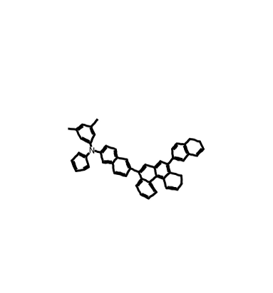 Cc1cc(C)cc(N(c2ccccc2)c2ccc3cc(-c4cc5cc(-c6ccc7c(c6)C=CCC7)c6c(c5c5ccccc45)C=CCC6)ccc3c2)c1